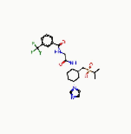 CC(C)S(=O)(=O)C[C@H]1C[C@H](n2ccnc2)CC[C@@H]1NC(=O)CNC(=O)c1cccc(C(F)(F)F)c1